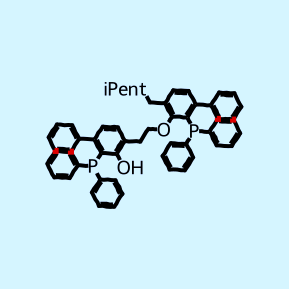 CCCC(C)Cc1ccc(-c2ccccc2)c(P(c2ccccc2)c2ccccc2)c1OCCc1ccc(-c2ccccc2)c(P(c2ccccc2)c2ccccc2)c1O